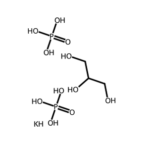 O=P(O)(O)O.O=P(O)(O)O.OCC(O)CO.[KH]